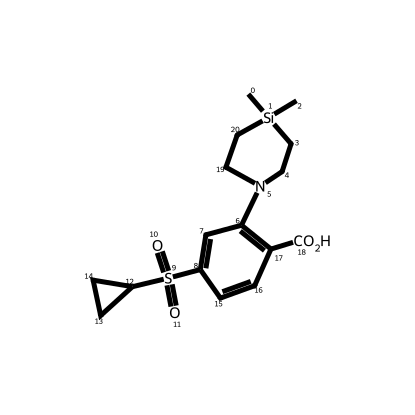 C[Si]1(C)CCN(c2cc(S(=O)(=O)C3CC3)ccc2C(=O)O)CC1